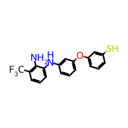 Nc1c(Nc2cccc(Oc3cccc(S)c3)c2)cccc1C(F)(F)F